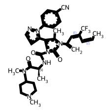 C=C(/C=C(\C=C/C)C(F)(F)F)n1c(C)c(-c2ccnn2-c2ccc(C#N)cc2)n(C(=O)N[C@@H](C)C(=O)N(C)C2CCN(C)CC2)c1=O